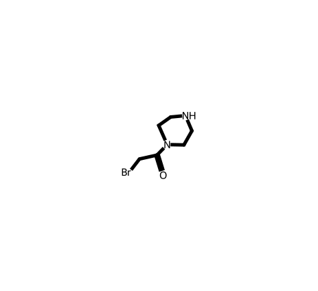 O=C(CBr)N1CCNCC1